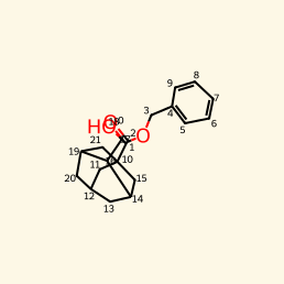 O=C(OCc1ccccc1)C12CC3CC(C1)C(CO)C(C3)C2